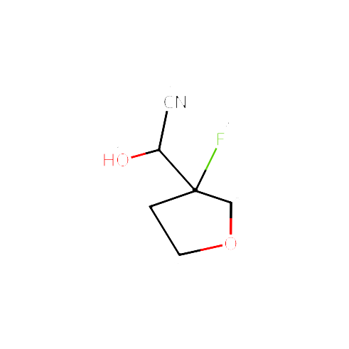 N#CC(O)C1(F)CCOC1